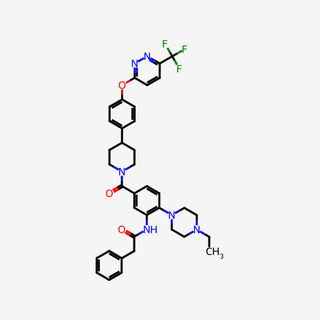 CCN1CCN(c2ccc(C(=O)N3CCC(c4ccc(Oc5ccc(C(F)(F)F)nn5)cc4)CC3)cc2NC(=O)Cc2ccccc2)CC1